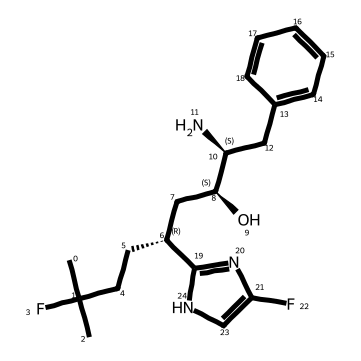 CC(C)(F)CC[C@H](C[C@H](O)[C@@H](N)Cc1ccccc1)c1nc(F)c[nH]1